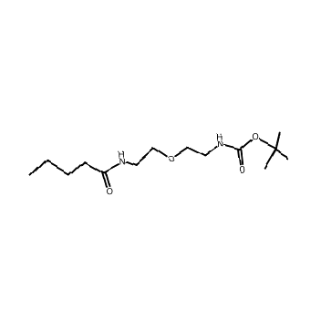 CCCCC(=O)NCCOCCNC(=O)OC(C)(C)C